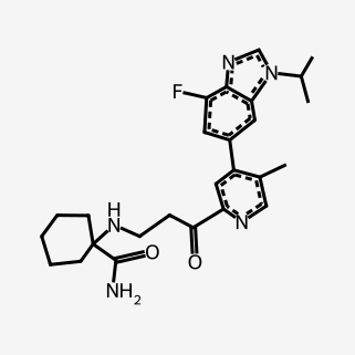 Cc1cnc(C(=O)CCNC2(C(N)=O)CCCCC2)cc1-c1cc(F)c2ncn(C(C)C)c2c1